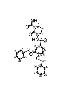 NC(=O)N1CCCN(NC(=O)c2cc(OCc3ccccc3)c(OCc3ccccc3)cn2)C1=O